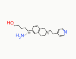 NC[C@H](CCCCO)c1ccc2c(c1)CC[C@H](CCc1ccncc1)C2